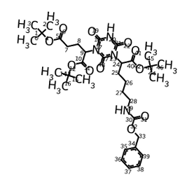 CC(C)(C)OC(=O)CCC(C(=O)OC(C)(C)C)n1c(=O)[nH]c(=O)n(C(CCCCNC(=O)OCc2ccccc2)C(=O)OC(C)(C)C)c1=O